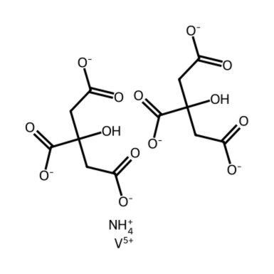 O=C([O-])CC(O)(CC(=O)[O-])C(=O)[O-].O=C([O-])CC(O)(CC(=O)[O-])C(=O)[O-].[NH4+].[V+5]